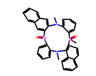 CN1c2cc3ccccc3cc2[PH](=O)c2ccccc2N(C)c2c(ccc3ccccc23)P(C)(=O)c2ccccc21